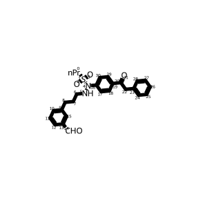 CCCS(=O)(=O)N(NCCCc1cccc(C=O)c1)c1ccc(C(=O)Cc2ccccc2)cc1